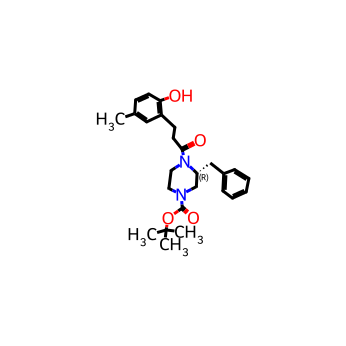 Cc1ccc(O)c(CCC(=O)N2CCN(C(=O)OC(C)(C)C)C[C@H]2Cc2ccccc2)c1